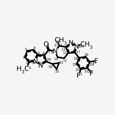 Cc1cccc2c(C(=O)N3CCc4c(nn(C)c4-c4cc(F)c(F)c(F)c4)[C@@H]3C)c(C3CC3)nn12